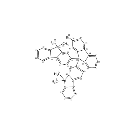 CC1(C)c2ccccc2-c2ccc(C3(c4ccc5c(c4)C(C)(C)c4ccccc4-5)c4ccccc4-c4ccc(Br)cc43)cc21